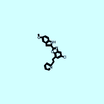 COc1ccc2[nH]c(-c3nc4cc(Cl)cc(CCc5ccccn5)c4o3)cc2c1